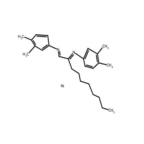 CCCCCCCCC(C=Nc1ccc(C)c(C)c1)=Nc1ccc(C)c(C)c1.[Ni]